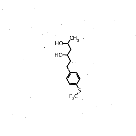 CC(O)CC(O)CCc1ccc(SC(F)(F)F)cc1